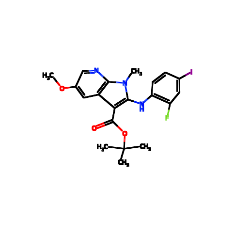 COc1cnc2c(c1)c(C(=O)OC(C)(C)C)c(Nc1ccc(I)cc1F)n2C